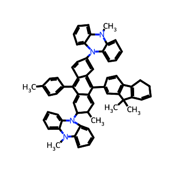 Cc1ccc(-c2c3c(c(-c4ccc5c(c4)C(C)(C)C4=C5CCC=C4)c4cc(N5c6ccccc6N(C)c6ccccc65)ccc24)=CC(C)C(N2c4ccccc4N(C)c4ccccc42)C=3)cc1